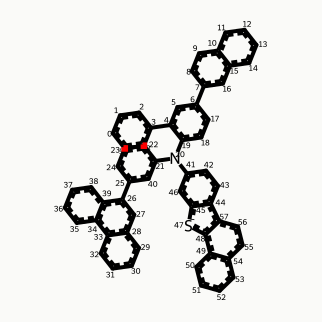 c1ccc(-c2cc(-c3ccc4ccccc4c3)ccc2N(c2cccc(-c3cc4ccccc4c4ccccc34)c2)c2ccc3c(c2)sc2c4ccccc4ccc32)cc1